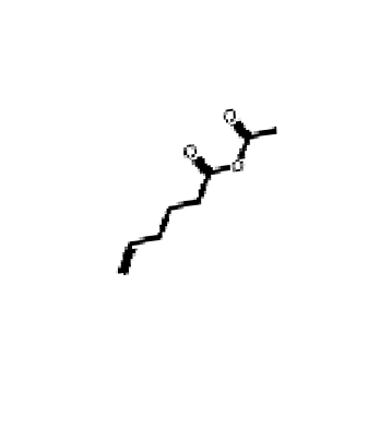 C=CCCCC(=O)OC(C)=O